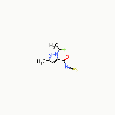 Cc1cc(C(=O)N=C=S)n(C(C)F)n1